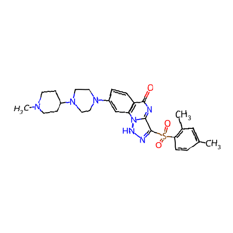 Cc1ccc(S(=O)(=O)c2n[nH]n3c2nc(=O)c2ccc(N4CCN(C5CCN(C)CC5)CC4)cc23)c(C)c1